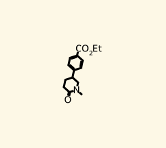 CCOC(=O)c1ccc(C2CCC(=O)N(C)C2)cc1